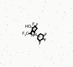 O[C@H]1c2c(C(F)(F)F)nn([C@H]3C[C@@H](F)[C@@H](F)[C@@H](F)C3)c2CC1(F)F